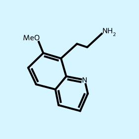 COc1ccc2cccnc2c1CCN